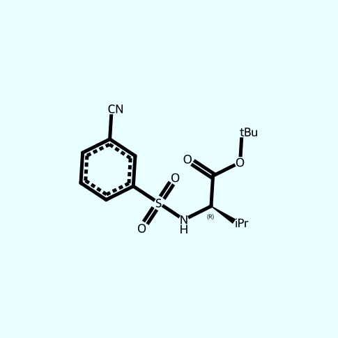 CC(C)[C@@H](NS(=O)(=O)c1cccc(C#N)c1)C(=O)OC(C)(C)C